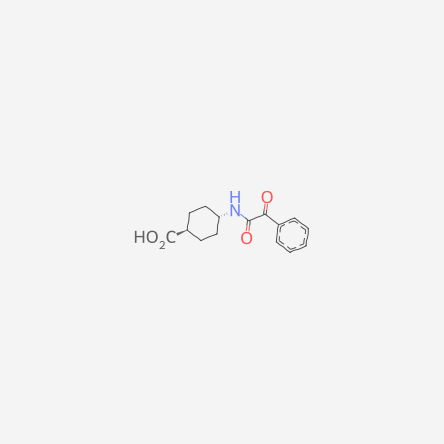 O=C(N[C@H]1CC[C@H](C(=O)O)CC1)C(=O)c1ccccc1